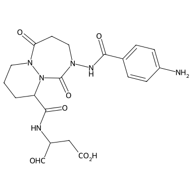 Nc1ccc(C(=O)NN2CCC(=O)N3CCCC(C(=O)NC(C=O)CC(=O)O)N3C2=O)cc1